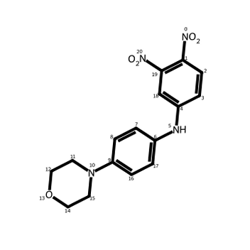 O=[N+]([O-])c1ccc(Nc2ccc(N3CCOCC3)cc2)cc1[N+](=O)[O-]